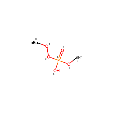 CCCCOOP(=O)(O)OCCC